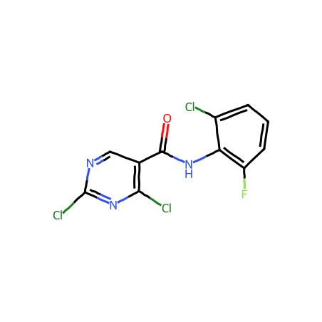 O=C(Nc1c(F)cccc1Cl)c1cnc(Cl)nc1Cl